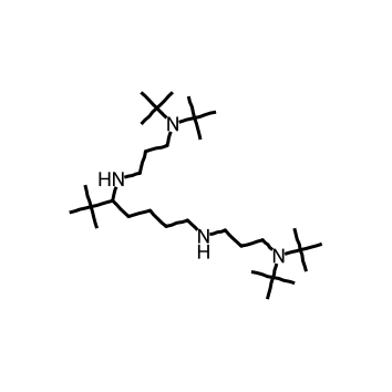 CC(C)(C)C(CCCCNCCCN(C(C)(C)C)C(C)(C)C)NCCCN(C(C)(C)C)C(C)(C)C